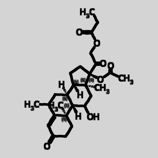 CCC(=O)OCC(=O)[C@@]1(OC(C)=O)CC[C@H]2[C@@H]3CC(C)C4=CC(=O)CC[C@]4(C)[C@H]3C(O)C[C@@]21C